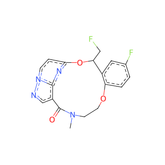 CN1CCOc2ccc(F)cc2C(CF)Oc2ccn3ncc(c3n2)C1=O